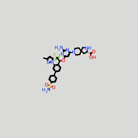 Cc1ccn(-c2cc(-c3ccc(S(N)(=O)=O)cc3)ccc2C(Oc2cc(N3CCC4(CC3)CN[C@H](C(=O)O)C4)nc(N)n2)C(F)(F)F)n1